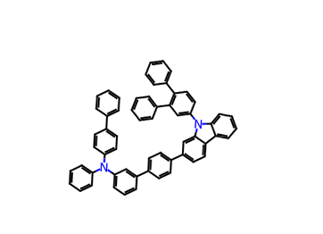 c1ccc(-c2ccc(N(c3ccccc3)c3cccc(-c4ccc(-c5ccc6c7ccccc7n(-c7ccc(-c8ccccc8)c(-c8ccccc8)c7)c6c5)cc4)c3)cc2)cc1